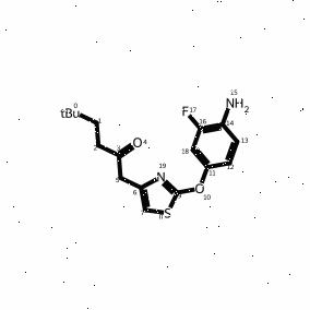 CC(C)(C)CCC(=O)Cc1csc(Oc2ccc(N)c(F)c2)n1